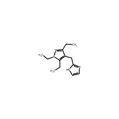 CCc1nn(CC)c(CC)c1Cc1ncc[nH]1